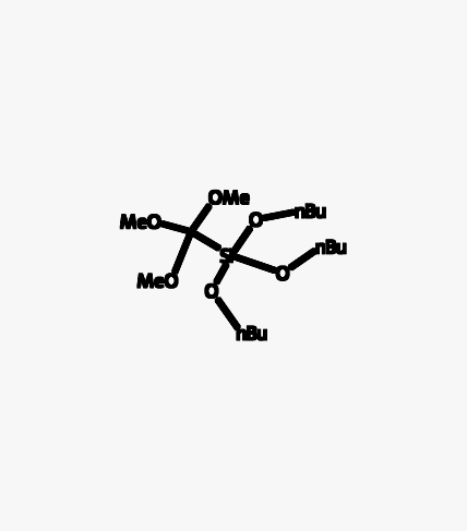 CCCCO[Si](OCCCC)(OCCCC)C(OC)(OC)OC